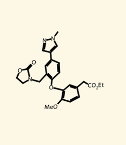 CCOC(=O)Cc1ccc(OC)c(Oc2ccc(-c3cnn(C)c3)cc2CN2CCOC2=O)c1